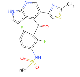 CCCS(=O)(=O)Nc1ccc(F)c(C(=O)c2c(-c3csc(C)n3)cnc3[nH]ccc23)c1F